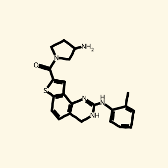 Cc1ccccc1NC1=Nc2c(ccc3sc(C(=O)N4CCC(N)C4)cc23)CN1